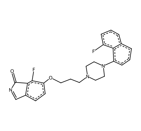 O=C1N=Cc2ccc(OCCCN3CCN(c4cccc5cccc(F)c45)CC3)c(F)c21